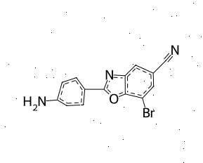 N#Cc1cc(Br)c2oc(-c3ccc(N)cc3)nc2c1